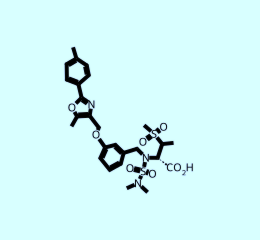 Cc1ccc(-c2nc(COc3cccc(CN([C@@H](C(=O)O)C(C)S(C)(=O)=O)S(=O)(=O)N(C)C)c3)c(C)o2)cc1